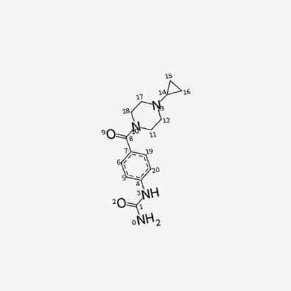 NC(=O)Nc1ccc(C(=O)N2CCN(C3CC3)CC2)cc1